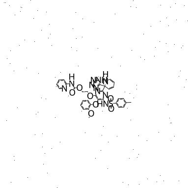 COc1ccccc1Oc1c(NS(=O)(=O)c2ccc(C)cc2)nc(C2(c3nnn[nH]3)C=CC=CN2)nc1OCCOC(=O)Nc1ccccn1